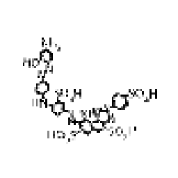 Nc1ccc(N=Nc2ccc(Nc3ccc(N=Nc4c(S(=O)(=O)O)cc5cc(S(=O)(=O)O)c(N=Nc6ccc(S(=O)(=O)O)cc6)c(O)c5c4N)cc3S(=O)(=O)O)cc2)c(O)c1